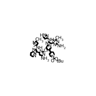 Cc1cc(Nc2nc3cccnn3c2-c2cc(N)nc(C)n2)sn1.Cc1nc(N)nc(-c2c(Nc3cc[nH]n3)nc3ccc(C4=CCN(C(=O)OC(C)(C)C)CC4)cn23)n1